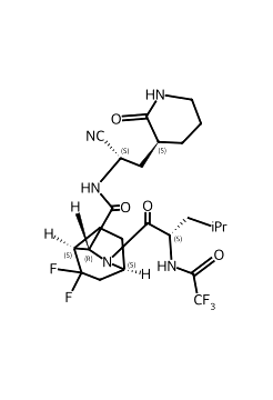 CC(C)C[C@H](NC(=O)C(F)(F)F)C(=O)N1[C@H]2CC[C@@H]([C@@H]1C(=O)N[C@H](C#N)C[C@@H]1CCCNC1=O)C(F)(F)C2